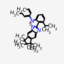 C/C=C\C(=C/CC)N1Sn2c(nc3cc4c(cc32)C(C)(C)C(C)(C)C4(C)C)-c2c(C(C)C)cccc21